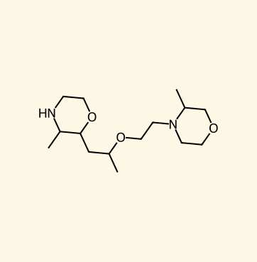 CC(CC1OCCNC1C)OCCN1CCOCC1C